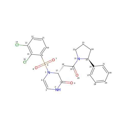 O=C1NC=CN(S(=O)(=O)c2cccc(Cl)c2Cl)[C@@H]1CC(=O)N1CCC[C@H]1c1ccccc1